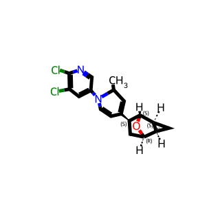 CC1C=C([C@@H]2C[C@H]3O[C@H]2[C@H]2C[C@H]23)C=CN1c1cnc(Cl)c(Cl)c1